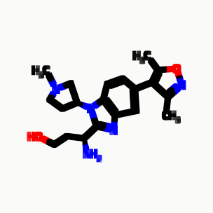 Cc1noc(C)c1-c1ccc2c(c1)nc([C@@H](N)CCO)n2[C@H]1CCN(C)C1